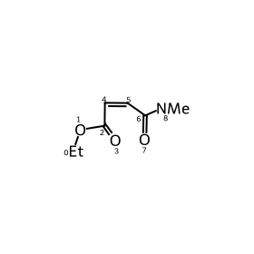 CCOC(=O)/C=C\C(=O)NC